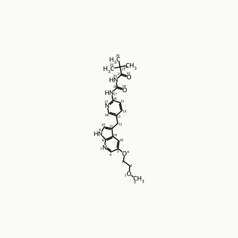 COCCOc1cnc2[nH]cc(Cc3ccc(NC(=O)NC(=O)C(C)(C)C)nc3)c2c1